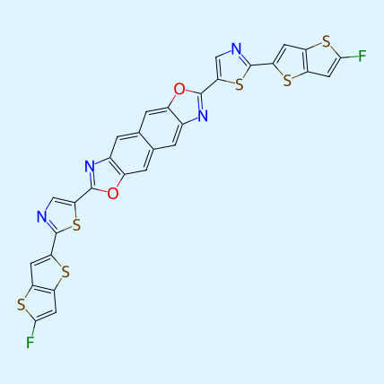 Fc1cc2sc(-c3ncc(-c4nc5cc6cc7oc(-c8cnc(-c9cc%10sc(F)cc%10s9)s8)nc7cc6cc5o4)s3)cc2s1